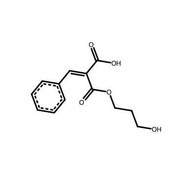 O=C(O)C(=Cc1ccccc1)C(=O)OCCCO